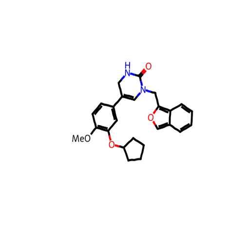 COc1ccc(C2=CN(Cc3occ4ccccc34)C(=O)NC2)cc1OC1CCCC1